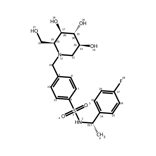 C[C@H](NS(=O)(=O)c1ccc(CN2C[C@H](O)[C@@H](O)[C@H](O)[C@@H]2CO)cc1)c1ccc(F)cc1